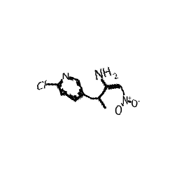 CC(/C(N)=C\[N+](=O)[O-])c1ccc(Cl)nc1